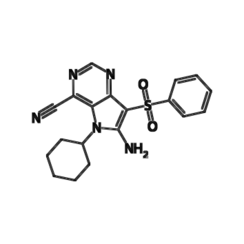 N#Cc1ncnc2c(S(=O)(=O)c3ccccc3)c(N)n(C3CCCCC3)c12